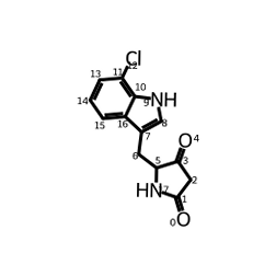 O=C1CC(=O)C(Cc2c[nH]c3c(Cl)cccc23)N1